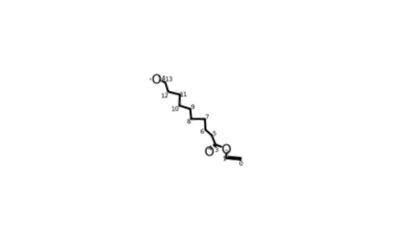 C=COC(=O)CCCCCCCCC[O]